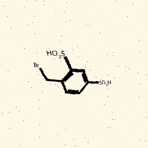 O=S(=O)(O)c1ccc(CBr)c(S(=O)(=O)O)c1